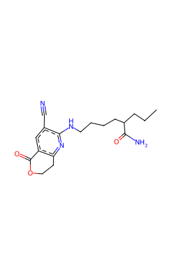 CCCC(CCCCNc1nc2c(cc1C#N)C(=O)OCC2)C(N)=O